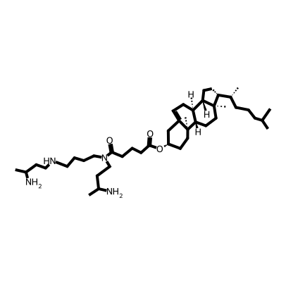 CC(C)CCC[C@@H](C)[C@H]1CC[C@H]2[C@@H]3CC=C4C[C@@H](OC(=O)CCCC(=O)N(CCCCNCCC(C)N)CCC(C)N)CC[C@]4(C)[C@H]3CC[C@]12C